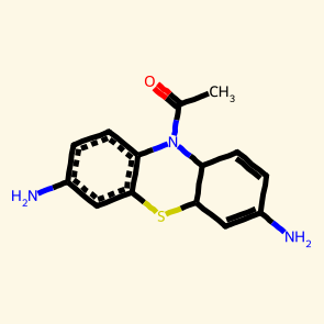 CC(=O)N1c2ccc(N)cc2SC2C=C(N)C=CC21